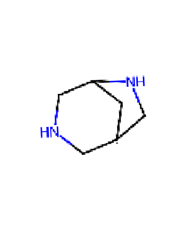 C1NCC2C[C]1CN2